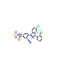 CS(=O)(=O)NC(=O)c1ccc(-n2nc(-c3ccccc3C(F)(F)F)c3cc(Cl)ccc32)c(C#N)c1